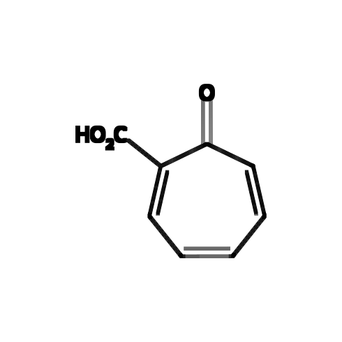 O=C(O)c1cccccc1=O